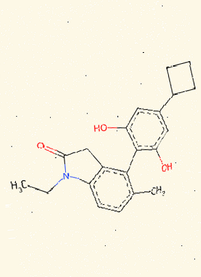 CCN1C(=O)Cc2c1ccc(C)c2-c1c(O)cc(C2CCC2)cc1O